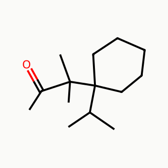 CC(=O)C(C)(C)C1(C(C)C)CCCCC1